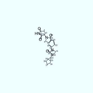 O=C1CCC(N2Cc3cc(N4CCN(C5C6CCCC65)C4=O)ccc3C2=O)C(=O)N1